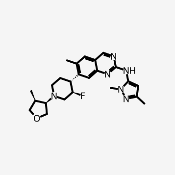 Cc1cc(Nc2ncc3cc(C)c([C@H]4CCN([C@H]5COC[C@H]5C)C[C@@H]4F)cc3n2)n(C)n1